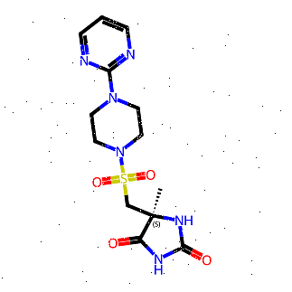 C[C@]1(CS(=O)(=O)N2CCN(c3ncccn3)CC2)NC(=O)NC1=O